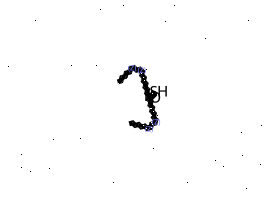 CCCCCC/C=C\C/C=C\CCCCCCCN(CCCCCCC/C=C\C/C=C\CCCCCC)C(=O)S